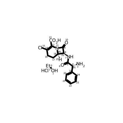 CCO.Cl.N[C@@H](C(=O)N[C@@H]1C(=O)N2C(C(=O)O)=C(Cl)CC[C@H]12)c1ccccc1